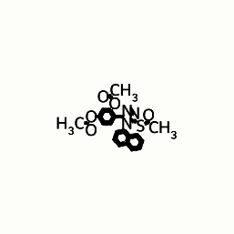 CC(=O)Oc1ccc(-c2nnc(SC(C)=O)n2-c2cccc3ccccc23)c(OC(C)=O)c1